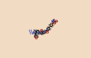 Cn1nc(-c2ccc(C3=CCN(C(=O)CN4CC[C@]5(CCN(c6ccc(N)c(C(=N)C7CCOCC7)n6)C5=O)C4)CC3)cc2)oc1=O